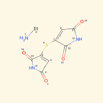 CCN.O=C1C=C(SC2=CC(=O)NC2=O)C(=O)N1